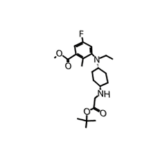 CCN(c1cc(F)cc(C(=O)OC)c1C)[C@H]1CC[C@H](NCC(=O)OC(C)(C)C)CC1